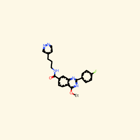 CCOc1nc(-c2ccc(F)cc2)nc2cc(C(=O)NCCCc3ccnnc3)ccc12